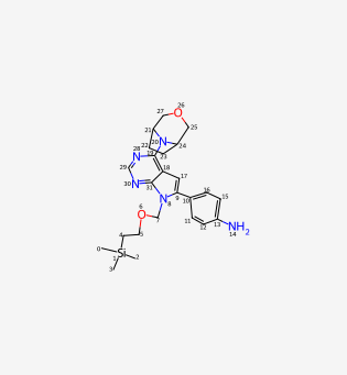 C[Si](C)(C)CCOCn1c(-c2ccc(N)cc2)cc2c(N3C4CCC3COC4)ncnc21